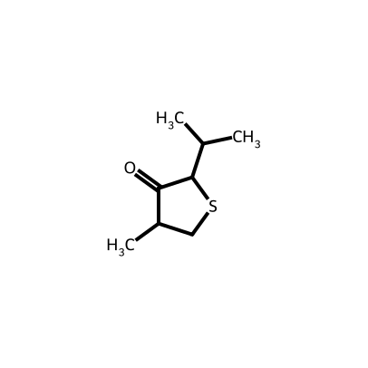 CC1CSC(C(C)C)C1=O